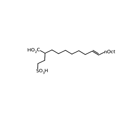 CCCCCCCCC=CCCCCCCC(CCS(=O)(=O)O)C(=O)O